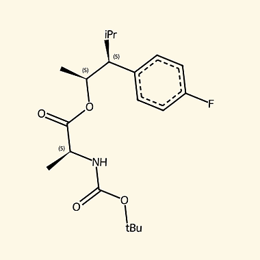 CC(C)[C@@H](c1ccc(F)cc1)[C@H](C)OC(=O)[C@H](C)NC(=O)OC(C)(C)C